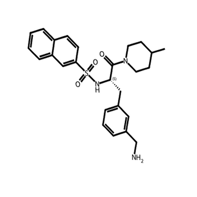 CC1CCN(C(=O)[C@H](Cc2cccc(CN)c2)NS(=O)(=O)c2ccc3ccccc3c2)CC1